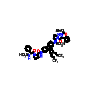 COC(=O)NC(C(=O)N1CCCC1N(C(=O)O)c1ccc2c(c1)C(CCCCC(F)(F)F)(CCCCC(F)(F)F)c1cc(NC(=O)C3CCCN3C(=O)[C@H](NC(=O)O)c3ccccc3)ccc1-2)c1ccccc1